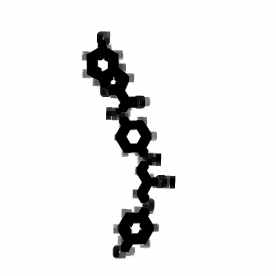 O=C(NC1CCC(NCC(O)COc2ccc(Cl)cc2)CC1)c1cc2cc(Cl)ccc2o1